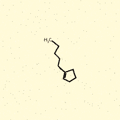 CCCCCC1=[C]CCC1